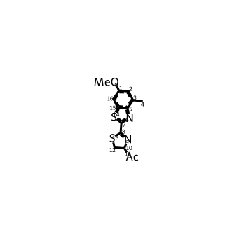 COc1cc(C)c2nc(C3=NC(C(C)=O)CS3)sc2c1